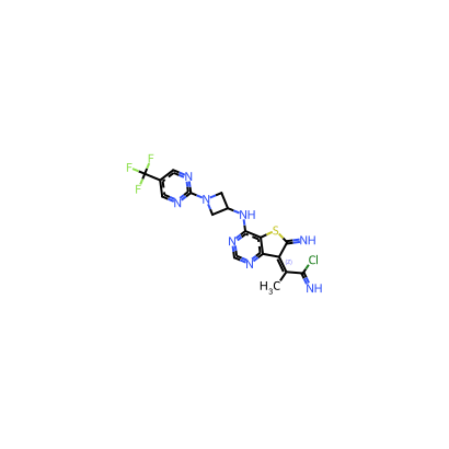 C/C(C(=N)Cl)=C1/C(=N)Sc2c(NC3CN(c4ncc(C(F)(F)F)cn4)C3)ncnc21